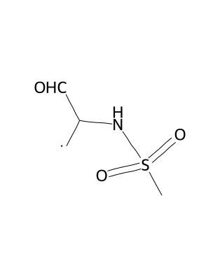 [CH2]C(C=O)NS(C)(=O)=O